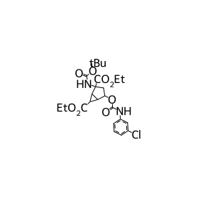 CCOC(=O)C1C2C(OC(=O)Nc3cccc(Cl)c3)CC(NC(=O)OC(C)(C)C)(C(=O)OCC)C12